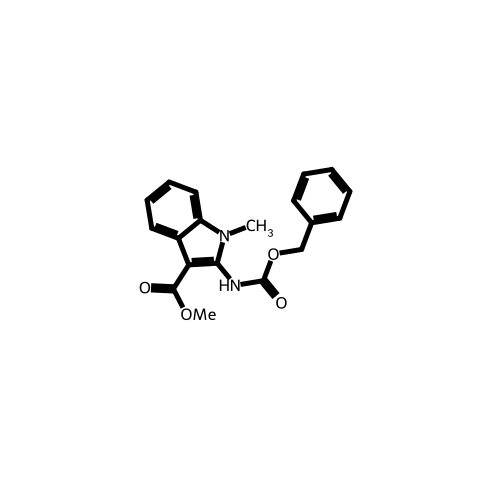 COC(=O)c1c(NC(=O)OCc2ccccc2)n(C)c2ccccc12